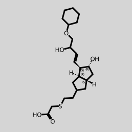 O=C(O)CSCCC1C[C@H]2C[C@@H](O)[C@H](C=CC(O)COC3CCCCC3)[C@@H]2C1